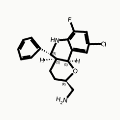 NC[C@H]1CC[C@@H]2[C@H](O1)c1cc(Cl)cc(F)c1N[C@H]2c1ccccc1